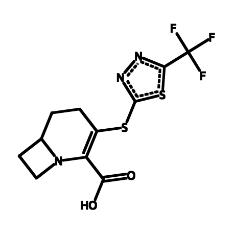 O=C(O)C1=C(Sc2nnc(C(F)(F)F)s2)CCC2CCN12